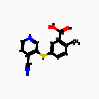 Cc1ccc(Sc2cnccc2C#N)cc1C(=O)O